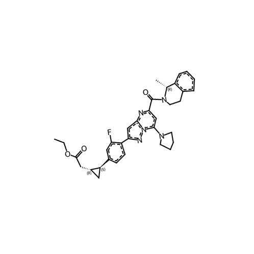 CCOC(=O)C[C@H]1C[C@@H]1c1ccc(-c2cc3nc(C(=O)N4CCc5ccccc5[C@H]4C)cc(N4CCCC4)n3n2)c(F)c1